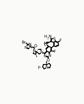 C[C@H]1CN(C(=O)n2cnc(Br)n2)[C@]12CCN(c1nc(OC[C@@]34CCCN3C[C@H](F)C4)nc3c(F)c(-c4ccc(F)c5sc(N)c(C#N)c45)c(Cl)cc13)C2